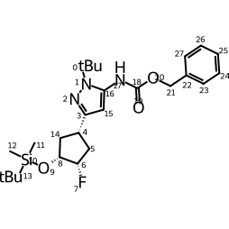 CC(C)(C)n1nc([C@@H]2C[C@H](F)[C@H](O[Si](C)(C)C(C)(C)C)C2)cc1NC(=O)OCc1ccccc1